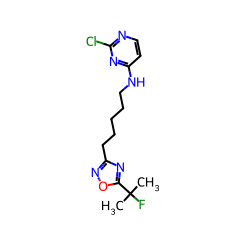 CC(C)(F)c1nc(CCCCCNc2ccnc(Cl)n2)no1